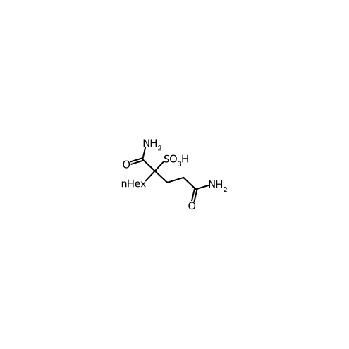 CCCCCCC(CCC(N)=O)(C(N)=O)S(=O)(=O)O